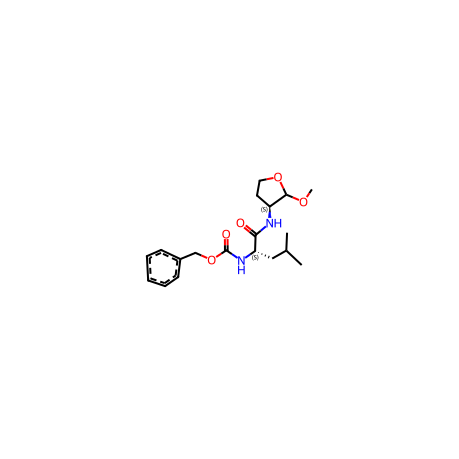 COC1OCC[C@@H]1NC(=O)[C@H](CC(C)C)NC(=O)OCc1ccccc1